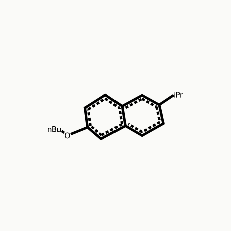 CCCCOc1ccc2cc(C(C)C)ccc2c1